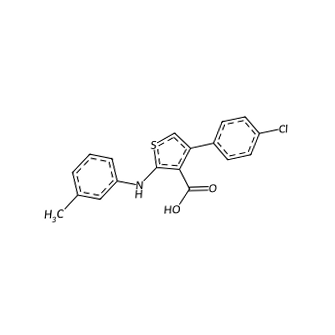 Cc1cccc(Nc2scc(-c3ccc(Cl)cc3)c2C(=O)O)c1